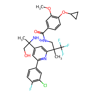 COc1cc(C(=O)NCC(C)(c2cc(C(C)(N)CO)cc(-c3ccc(F)c(Cl)c3)n2)C(F)(F)F)ccc1OC1CC1